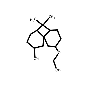 CC1(C)C2CCC(O)CC23CC(OCO)CCC13